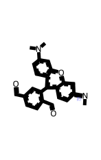 C/N=c1\ccc2c(-c3cc(C=O)ccc3C=O)c3ccc(N(C)C)cc3oc-2c1